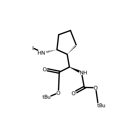 CC(C)(C)OC(=O)N[C@@H](C(=O)OC(C)(C)C)[C@H]1CCC[C@H]1NI